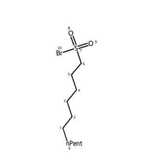 CCCCCCCCCCCS(=O)(=O)Br